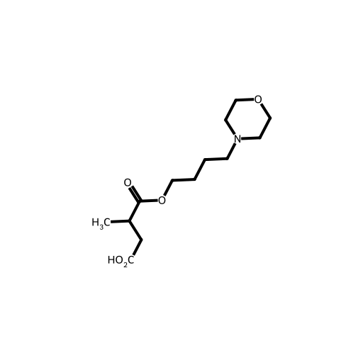 CC(CC(=O)O)C(=O)OCCCCN1CCOCC1